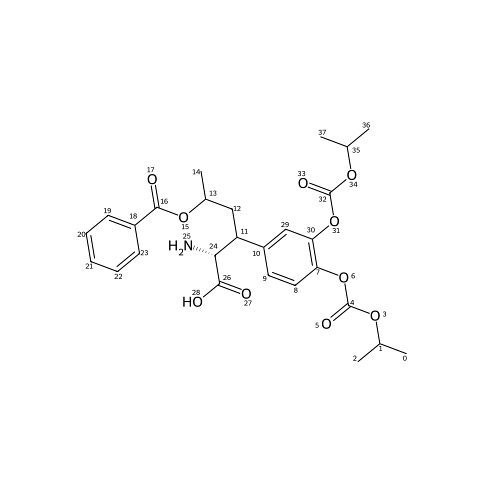 CC(C)OC(=O)Oc1ccc(C(CC(C)OC(=O)c2ccccc2)[C@@H](N)C(=O)O)cc1OC(=O)OC(C)C